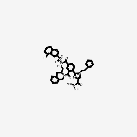 CCCCN(CCCC)C(=O)c1cn(CCc2ccccc2)c(-c2ccc(C(=O)NS(=O)(=O)c3ccc4cccc(Cl)c4c3)cc2C(=O)N2Cc3ccccc3CC2CO)n1